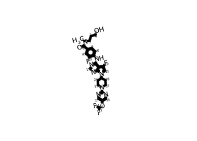 CN(CCCO)C(=O)c1ccc(Nc2ncnc3c2c(F)cn3C2CCN(c3ncc(OC(F)F)cn3)CC2)c(F)c1